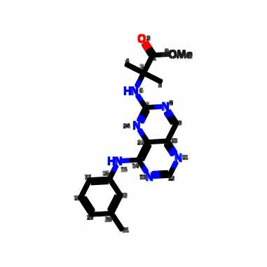 COC(=O)C(C)(C)Nc1ncc2ncnc(Nc3cccc(C)c3)c2n1